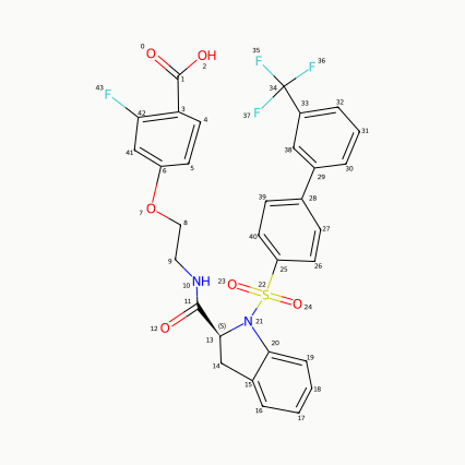 O=C(O)c1ccc(OCCNC(=O)[C@@H]2Cc3ccccc3N2S(=O)(=O)c2ccc(-c3cccc(C(F)(F)F)c3)cc2)cc1F